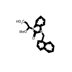 COC(CC(=O)O)n1c(=O)n(Cc2cccc3ccccc23)c2ccccc21